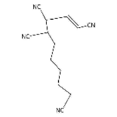 N#CC=CC(C#N)C(C#N)CCCCCC#N